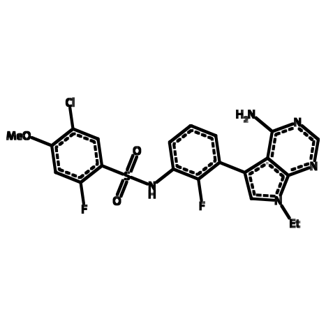 CCn1cc(-c2cccc(NS(=O)(=O)c3cc(Cl)c(OC)cc3F)c2F)c2c(N)ncnc21